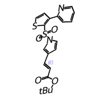 CC(C)(C)OC(=O)/C=C/c1ccn(S(=O)(=O)c2sccc2-c2ccccn2)c1